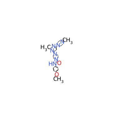 CCOc1ccc(NC(=O)N2CCN(c3cc(N4CCN(C)CC4)nc(C)n3)CC2)cc1